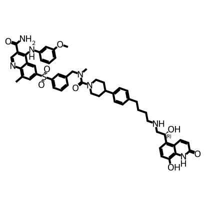 COc1cccc(Nc2c(C(N)=O)cnc3c(C)cc(S(=O)(=O)c4cccc(CN(C)C(=O)N5CCC(c6ccc(CCCCNC[C@H](O)c7ccc(O)c8[nH]c(=O)ccc78)cc6)CC5)c4)cc23)c1